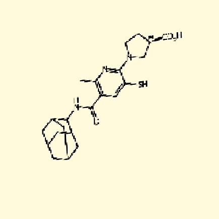 Cc1nc(N2CC[C@@H](C(=O)O)C2)c(S)cc1C(=O)NC1C2CC3CC(C2)CC1C3